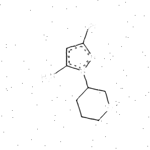 CC(C)c1cc(N)n(C2CCCOC2)n1